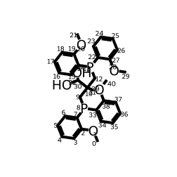 COc1ccccc1P(CC(C)(CP(c1ccccc1OC)c1ccccc1OC)C(O)O)c1ccccc1OC